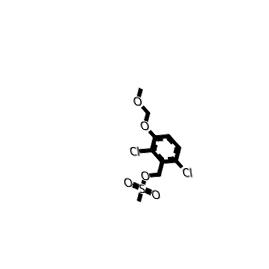 COCOc1ccc(Cl)c(COS(C)(=O)=O)c1Cl